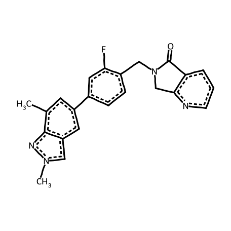 Cc1cc(-c2ccc(CN3Cc4ncccc4C3=O)c(F)c2)cc2cn(C)nc12